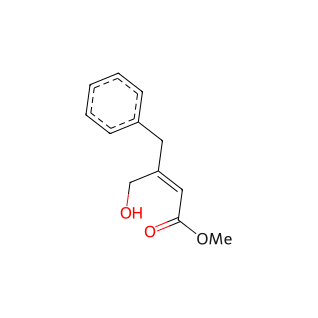 COC(=O)C=C(CO)Cc1ccccc1